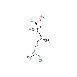 CC(=O)OC(CC=C(C)CCC[C@H](C)CO)(C(C)=O)C(=O)OC(C)(C)C